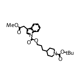 COC(=O)Cc1cn(C(=O)OCCCC2CCN(C(=O)OC(C)(C)C)CC2)c2ccccc12